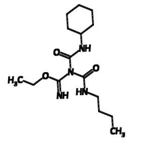 CCCCNC(=O)N(C(=N)OCC)C(=O)NC1CCCCC1